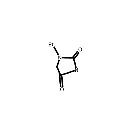 CCN1CC(=O)[N]C1=O